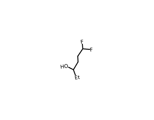 CCC(O)CCC(F)F